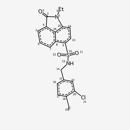 CCN1C(=O)c2cccc3c(S(=O)(=O)NCc4ccc(F)c(Cl)c4)ccc1c23